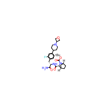 CC(C)(C)OC(=O)N1[C@@H]2CC[C@@H](C2)[C@H]1C(=O)N[C@@H](Cc1ccc(C2CCN(C3COC3)CC2)cc1F)C(N)=O